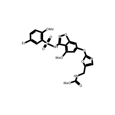 CCc1ccc(OC)c(S(=O)(=O)Nc2noc3cc(Oc4ncc(CNC(=O)OC)o4)cc(OC)c23)c1